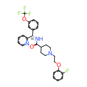 O=C(N[C@@H](c1cccc(OC(F)(F)F)c1)c1ccccn1)C1CCN(CCOc2ccccc2F)CC1